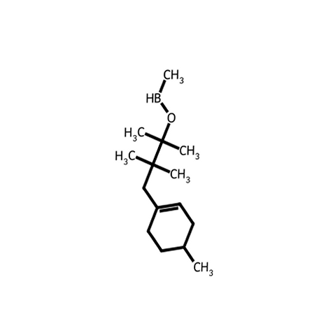 CBOC(C)(C)C(C)(C)CC1=CCC(C)CC1